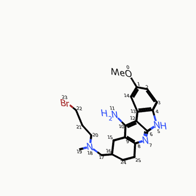 COc1ccc2[nH]c3nc4c(c(N)c3c2c1)CC(CN(C)CCCBr)CC4